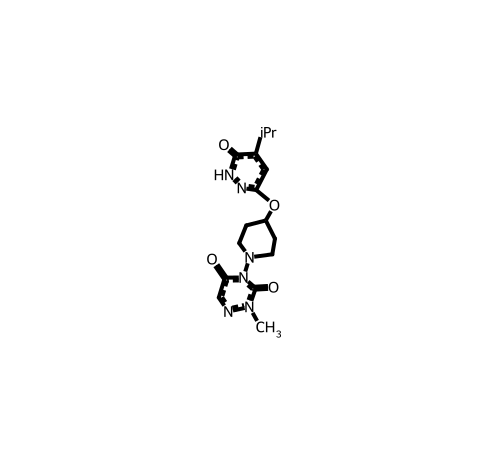 CC(C)c1cc(OC2CCN(n3c(=O)cnn(C)c3=O)CC2)n[nH]c1=O